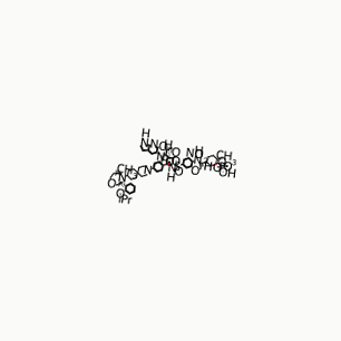 CC(C)Oc1ccccc1[C@@H]1COCC[C@@H](C)N1C1CCC2(CC1)CCN(c1ccc(C(=O)NS(=O)(=O)c3cc4c(c([N+](=O)[O-])c3)N[C@@H](C3CCC(C)(OP(=O)(O)O)CC3)CO4)c(N3c4cc5cc[nH]c5nc4O[C@H]4COCC[C@@H]43)c1)CC2